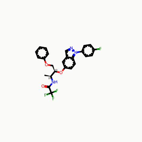 C[C@H](NC(=O)C(F)(F)F)[C@@H](COc1ccccc1)Oc1ccc2c(cnn2-c2ccc(F)cc2)c1